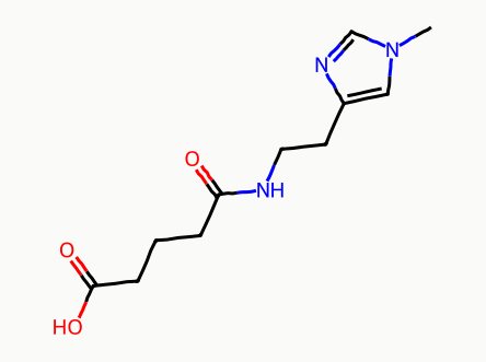 Cn1cnc(CCNC(=O)CCCC(=O)O)c1